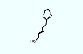 OCC=CCCC1OCCO1